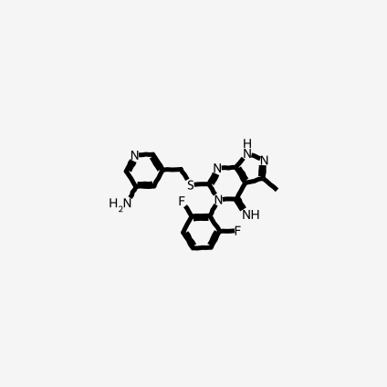 Cc1n[nH]c2nc(SCc3cncc(N)c3)n(-c3c(F)cccc3F)c(=N)c12